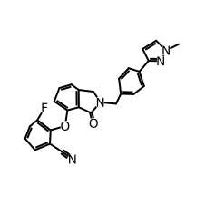 Cn1ccc(-c2ccc(CN3Cc4cccc(Oc5c(F)cccc5C#N)c4C3=O)cc2)n1